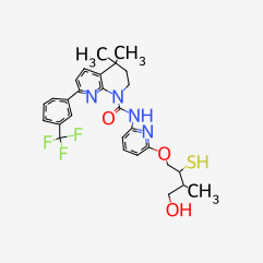 CC(CO)C(S)COc1cccc(NC(=O)N2CCC(C)(C)c3ccc(-c4cccc(C(F)(F)F)c4)nc32)n1